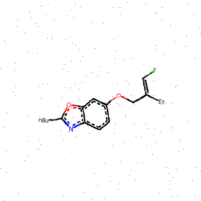 CCCCc1nc2ccc(OCC(=CF)CC)cc2o1